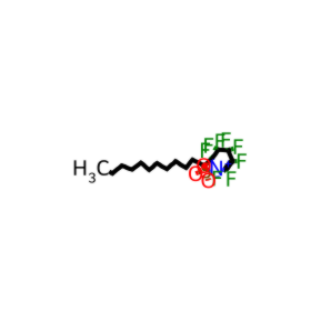 CCCCCCCCCCCCC1(F)C(F)(F)C(F)(F)C(F)=C(F)[N+]1(F)S(=O)(=O)[O-]